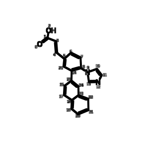 O=C(O)C=Cc1ccc(-n2ccnc2)c(-c2ccc3ccccc3c2)c1